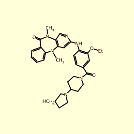 CCOc1cc(C(=O)N2CCC(N3CC[C@H](O)C3)CC2)ccc1Nc1cc2c(cn1)N(C)C(=O)c1ccccc1N2C